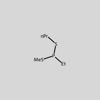 CCCSP(CC)SC